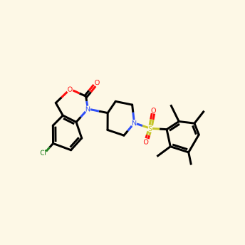 Cc1cc(C)c(C)c(S(=O)(=O)N2CCC(N3C(=O)OCc4cc(Cl)ccc43)CC2)c1C